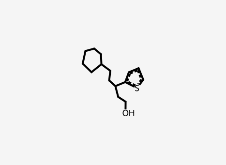 OCCC(CCC1CCCCC1)c1cccs1